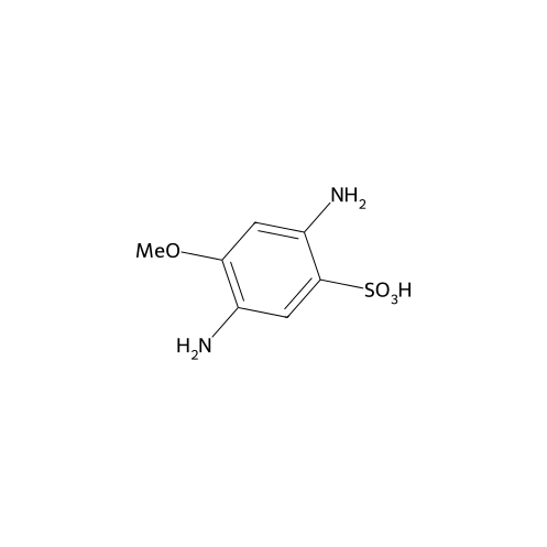 COc1cc(N)c(S(=O)(=O)O)cc1N